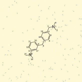 CN(C)Cc1ccc(Cc2cc[c]c(N(C)C)c2)cc1